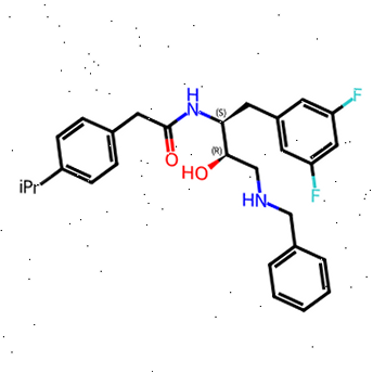 CC(C)c1ccc(CC(=O)N[C@@H](Cc2cc(F)cc(F)c2)[C@H](O)CNCc2ccccc2)cc1